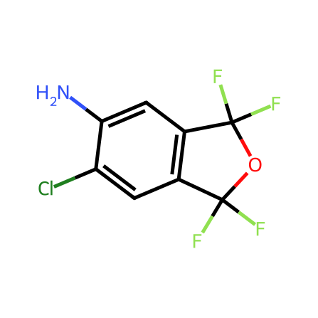 Nc1cc2c(cc1Cl)C(F)(F)OC2(F)F